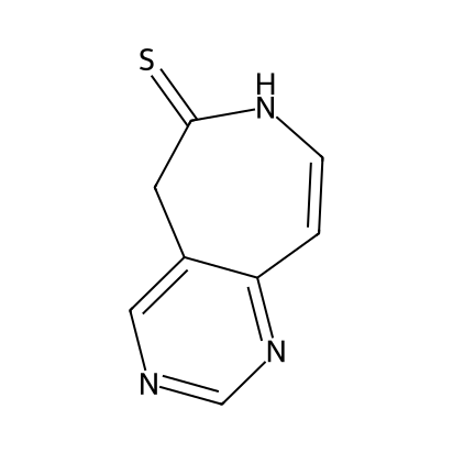 S=C1Cc2cncnc2C=CN1